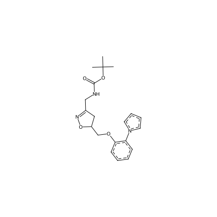 CC(C)(C)OC(=O)NCC1=NOC(COc2ccccc2-n2cccc2)C1